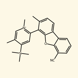 Cc1c[n+](C)c(-c2c(C)ccc3c2oc2c(C#N)cccc23)cc1[Si](C)(C)C